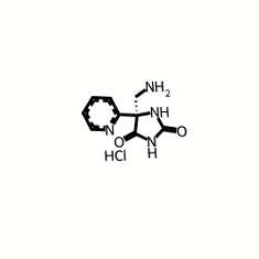 Cl.NC[C@]1(c2ccccn2)NC(=O)NC1=O